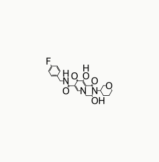 O=C(NCc1ccc(F)cc1)c1cn2c(c(O)c1=O)C(=O)N(C1CCCOC1)C(O)C2